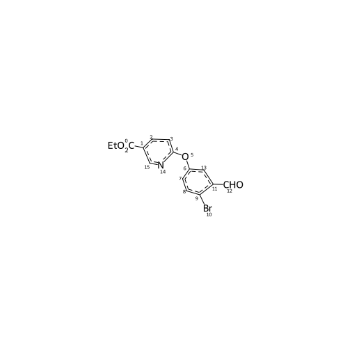 CCOC(=O)c1ccc(Oc2ccc(Br)c(C=O)c2)nc1